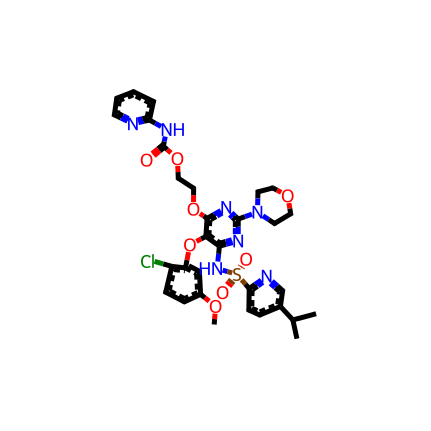 COc1ccc(Cl)c(Oc2c(NS(=O)(=O)c3ccc(C(C)C)cn3)nc(N3CCOCC3)nc2OCCOC(=O)Nc2ccccn2)c1